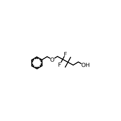 CC(C)(CCO)C(F)(F)COCc1ccccc1